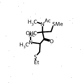 CCSCC(C(=O)C([C]=O)(CSC)N(C)C(C)=O)N(C)C(C)=O